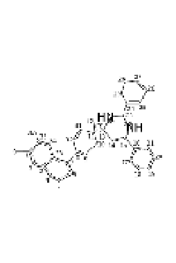 Cc1cc2cccc(C3=CCC(C)([C@H]4C=C(c5ccccc5)NC(C5=CC=CCC5)N4)C=C3)c2cc1C